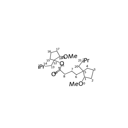 COC1CCCC1(CCCC(=O)OC1(CC(C)C)CCCC1OC)CC(C)C